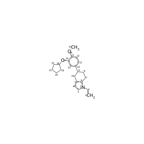 C=Cn1ccc2c1CCC(c1ccc(OC)c(OC3CCCC3)c1)C2